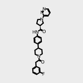 O=C(Nc1ccc(C2CCN(C(=O)Cc3cccc(F)c3)CC2)cc1)[C@H]1CCN(c2cccnn2)C1